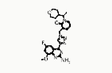 COc1cc(F)cc2c(-c3cn(Cc4cccn([C@H](C)C5CCOCC5)c4=O)nn3)nc(N)nc12